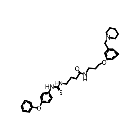 O=C(CCCNC(=S)Nc1ccc(Oc2ccccc2)cc1)NCCCOc1cccc(CN2CCCCC2)c1